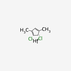 CC1=CC(C)=C[CH]1.[Cl][Hf][Cl]